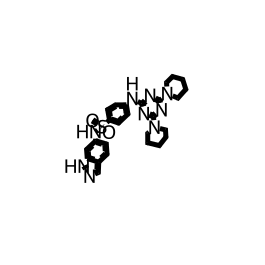 O=S(=O)(Nc1ccc2cn[nH]c2c1)c1ccc(Nc2nc(N3CCCCC3)nc(N3CCCCC3)n2)cc1